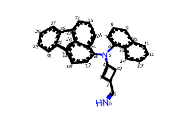 N=CC1C=C(N(c2cccc3ccccc23)c2ccc3c4c(cccc24)-c2ccccc2-3)C1